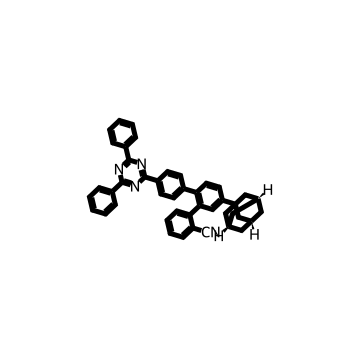 N#Cc1ccccc1-c1cc(C23C[C@H]4C[C@H](C2)C[C@@H](C3)C4)ccc1-c1ccc(-c2nc(-c3ccccc3)nc(-c3ccccc3)n2)cc1